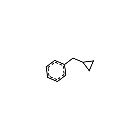 c1ccc(CC2CC2)cc1